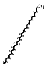 OCCCCCCCCCCCCCCCCCCCCCCCCCCI